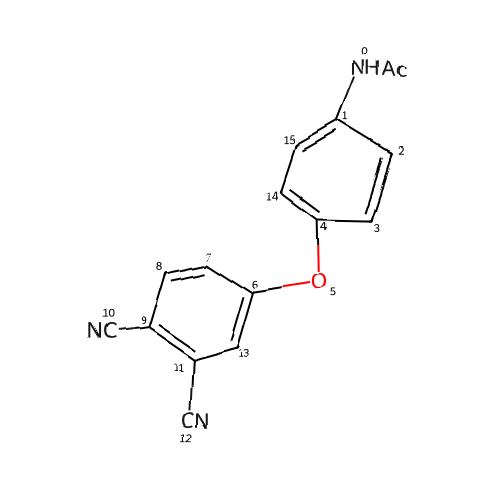 CC(=O)Nc1ccc(Oc2ccc(C#N)c(C#N)c2)cc1